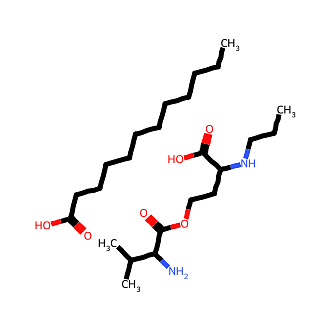 CCCCCCCCCCCC(=O)O.CCCNC(CCOC(=O)C(N)C(C)C)C(=O)O